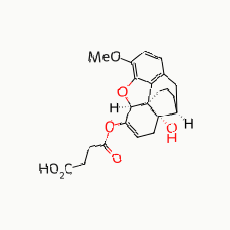 COc1ccc2c3c1O[C@@H]1C(OC(=O)CCC(=O)O)=CC[C@]4(O)[C@@H](CCC[C@@]314)C2